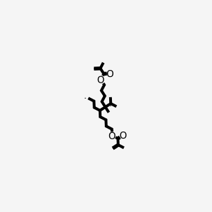 [CH2]CCC(CCCCOC(=O)C(=C)C)C(C)(CCCCOC(=O)C(=C)C)[C](C)C